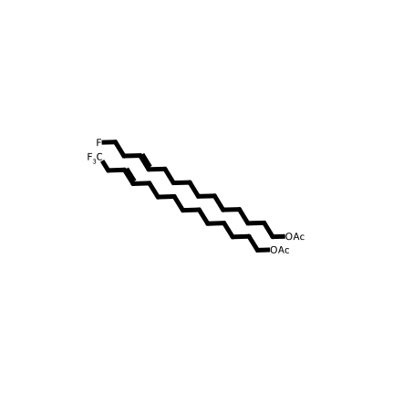 CC(=O)OCCCCCCCCCCC=CCC(F)(F)F.CC(=O)OCCCCCCCCCCC=CCCF